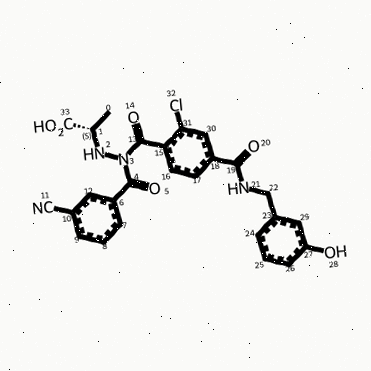 C[C@H](NN(C(=O)c1cccc(C#N)c1)C(=O)c1ccc(C(=O)NCc2cccc(O)c2)cc1Cl)C(=O)O